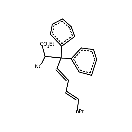 CCCC=CC=CC(c1ccccc1)(c1ccccc1)C(C#N)C(=O)OCC